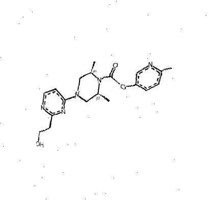 Cc1ccc(OC(=O)N2[C@H](C)CN(c3ccnc(CCO)n3)C[C@@H]2C)cn1